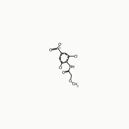 COCC(=O)Nc1c(Cl)cc([N+](=O)[O-])cc1Cl